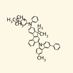 Cc1ccc2c(c1)c1cc(-c3ccccc3)ccc1n2-c1cc2c(c3ccccc13)-c1ccc(N(c3ccccc3)c3ccc([Si](C)(C)C)cc3)cc1C2(C)C